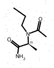 CCCN(C(C)=O)[C@@H](C)C(N)=O